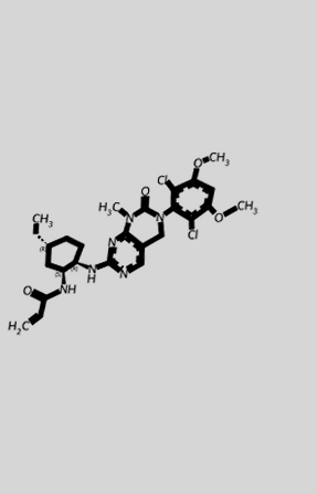 C=CC(=O)N[C@H]1C[C@H](CC)CC[C@H]1Nc1ncc2c(n1)N(C)C(=O)N(c1c(Cl)c(OC)cc(OC)c1Cl)C2